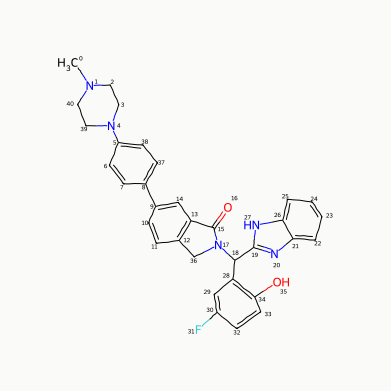 CN1CCN(c2ccc(-c3ccc4c(c3)C(=O)N(C(c3nc5ccccc5[nH]3)c3cc(F)ccc3O)C4)cc2)CC1